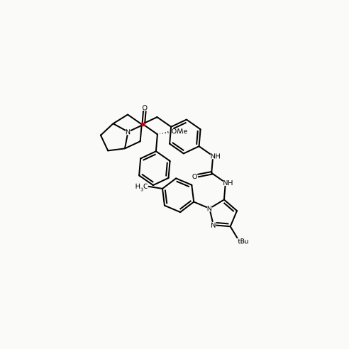 CO[C@@H](C(=O)N1C2CCC1CC(Cc1ccc(NC(=O)Nc3cc(C(C)(C)C)nn3-c3ccc(C)cc3)cc1)C2)c1ccccc1